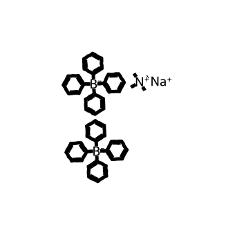 C[N+](C)(C)C.[Na+].c1ccc([B-](c2ccccc2)(c2ccccc2)c2ccccc2)cc1.c1ccc([B-](c2ccccc2)(c2ccccc2)c2ccccc2)cc1